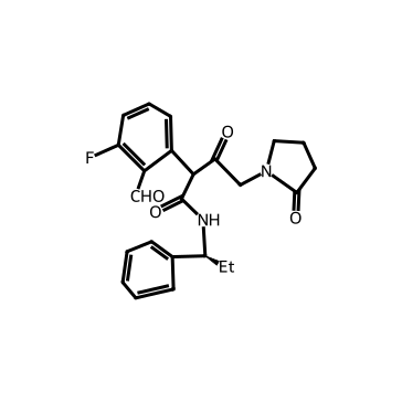 CC[C@H](NC(=O)C(C(=O)CN1CCCC1=O)c1cccc(F)c1C=O)c1ccccc1